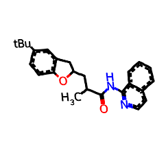 CC(CC1Cc2cc(C(C)(C)C)ccc2O1)C(=O)Nc1nccc2ccccc12